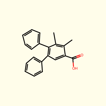 Cc1c(C(=O)O)cc(-c2ccccc2)c(-c2ccccc2)c1C